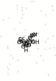 [N-]=[N+]=NCOC1CC(n2cc(CNC(=O)C(F)(F)F)c(=O)[nH]c2=O)OC1CO